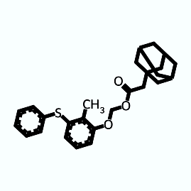 Cc1c(OCOC(=O)CC23CC4CC(CC(C4)C2)C3)cccc1Sc1ccccc1